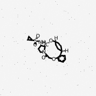 O=C1COc2ccccc2[C@H]2CC[C@H](CC2)OC[C@H]2[C@@H](NS(=O)(=O)C3CC3)CCN12